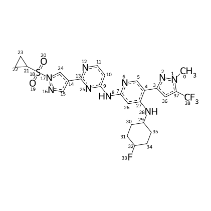 Cn1nc(-c2cnc(Nc3ccnc(-c4cnn(S(=O)(=O)C5CC5)c4)n3)cc2NC2CCC(F)CC2)cc1C(F)(F)F